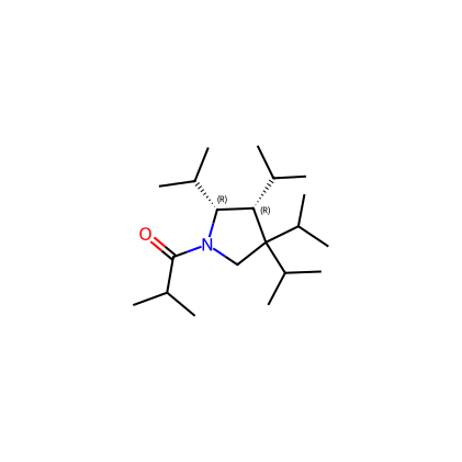 CC(C)C(=O)N1CC(C(C)C)(C(C)C)[C@@H](C(C)C)[C@H]1C(C)C